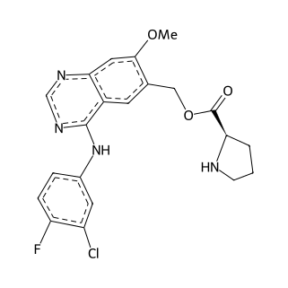 COc1cc2ncnc(Nc3ccc(F)c(Cl)c3)c2cc1COC(=O)[C@H]1CCCN1